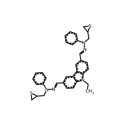 CCn1c2ccc(/C=N/N(CC3CS3)c3ccccc3)cc2c2cc(/C=N/N(CC3CS3)c3ccccc3)ccc21